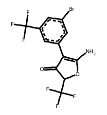 NC1=C(c2cc(Br)cc(C(F)(F)F)c2)C(=O)C(C(F)(F)F)O1